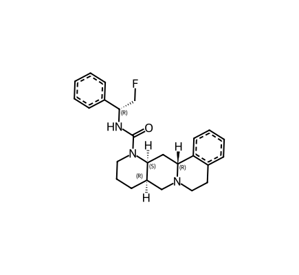 O=C(N[C@@H](CF)c1ccccc1)N1CCC[C@@H]2CN3CCc4ccccc4[C@H]3C[C@@H]21